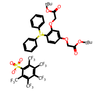 CC(C)(C)OC(=O)COc1ccc([S+](c2ccccc2)c2ccccc2)c(OCC(=O)OC(C)(C)C)c1.O=S(=O)([O-])c1c(C(F)(F)F)c(C(F)(F)F)c(C(F)(F)F)c(C(F)(F)F)c1C(F)(F)F